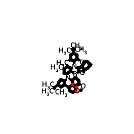 Cc1cc2c3c(c1)N(c1c(C)cc(C(C)(C)C)cc1C)c1c(oc4ccccc14)B3c1cc3c(cc1N2c1ccc(C(C)(C)C)cc1-c1ccccc1)OCO3